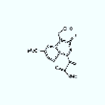 C=C(C(=O)NC)c1cc(=O)n(CC=O)c2cc(OC)ccc12